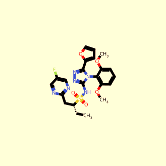 CC[C@H](Cc1ncc(F)cn1)S(=O)(=O)Nc1nnc(-c2ccco2)n1-c1c(OC)cccc1OC